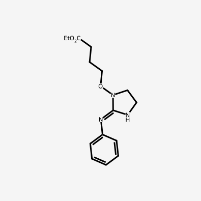 CCOC(=O)CCCON1CCN/C1=N\c1ccccc1